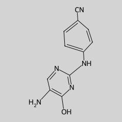 N#Cc1ccc(Nc2ncc(N)c(O)n2)cc1